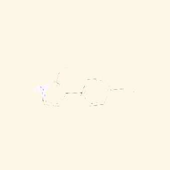 Cc1ccc(-c2cc[nH]c2O)cc1